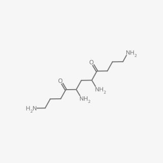 NCCCC(=O)C(N)CC(N)C(=O)CCCN